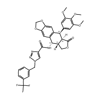 COc1cc([C@@H]2c3cc4c(cc3[C@@H](NC(=O)c3cn(Cc5cccc(C(F)(F)F)c5)nn3)[C@H]3COC(=O)[C@H]23)OCO4)cc(OC)c1OC